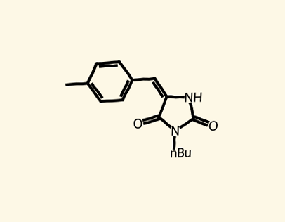 CCCCN1C(=O)NC(=Cc2ccc(C)cc2)C1=O